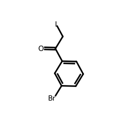 O=C(CI)c1cccc(Br)c1